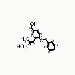 C/C(=C\c1nc(CO)ccc1OCc1ccccc1)C(=O)O